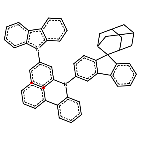 c1ccc(-c2ccccc2N(c2cccc(-n3c4ccccc4c4ccccc43)c2)c2ccc3c(c2)-c2ccccc2C32C3CC4CC(C3)CC2C4)cc1